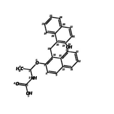 CC(NC(=O)O)Oc1ccc2ccccc2c1Cc1c(O)ccc2ccccc12